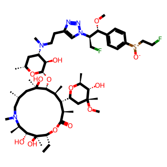 CC[C@H]1OC(=O)[C@H](C)[C@@H](C2C[C@@](C)(OC)[C@@H](O)[C@H](C)O2)[C@H](C)[C@@H](O[C@@H]2O[C@H](C)C[C@H](N(C)CCc3cn([C@H](CF)[C@H](OC)c4ccc([S+]([O-])CCF)cc4)nn3)[C@H]2O)[C@](C)(O)C[C@@H](C)CN(C)[C@H](C)[C@@H](O)[C@]1(C)O